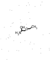 CCOCC(N)O